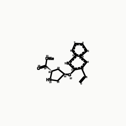 C=Cc1cc2ccccc2nc1O[C@H]1CN[C@H](C(=O)OC)C1